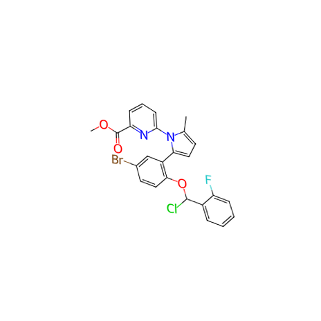 COC(=O)c1cccc(-n2c(C)ccc2-c2cc(Br)ccc2OC(Cl)c2ccccc2F)n1